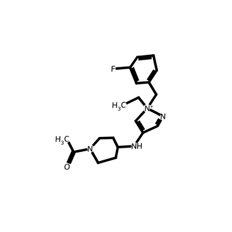 CC[N+]1(Cc2cccc(F)c2)C=C(NC2CCN(C(C)=O)CC2)C=N1